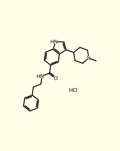 CN1CCC(c2c[nH]c3ccc(C(=O)NCCc4ccccc4)cc23)CC1.Cl